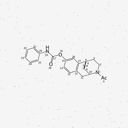 CC(=O)N1CCC23CCCCC2C1Cc1ccc(OC(=O)Nc2ccccc2)cc13